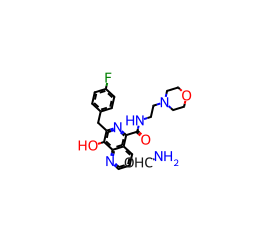 NC=O.O=C(NCCN1CCOCC1)c1nc(Cc2ccc(F)cc2)c(O)c2ncccc12